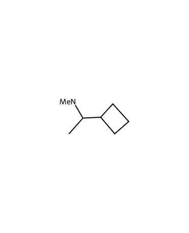 CNC(C)C1CCC1